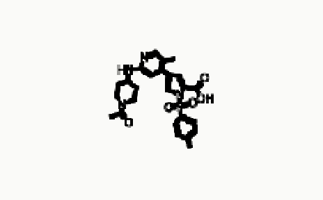 CC(=O)N1CCC(Nc2cc(-c3cc(C(=O)O)n(S(=O)(=O)c4ccc(C)cc4)c3)c(C)cn2)CC1